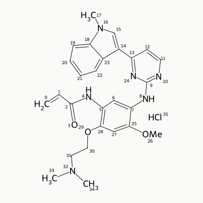 C=CC(=O)Nc1cc(Nc2nccc(-c3cn(C)c4ccccc34)n2)c(OC)cc1OCCN(C)C.Cl